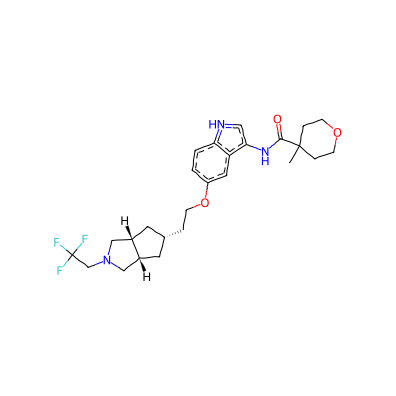 CC1(C(=O)Nc2c[nH]c3ccc(OCC[C@@H]4C[C@@H]5CN(CC(F)(F)F)C[C@@H]5C4)cc23)CCOCC1